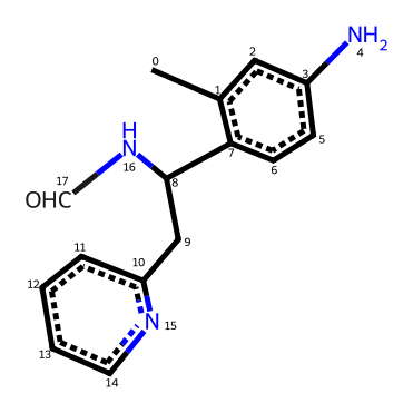 Cc1cc(N)ccc1C(Cc1ccccn1)NC=O